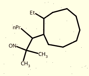 CCCC(C1CCCCCCCC1CC)C(C)(C)N=O